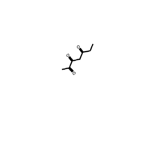 CCC(=O)CC(=O)C(C)=O